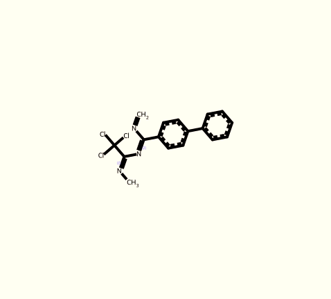 C=N/C(=N\C(=N/C)C(Cl)(Cl)Cl)c1ccc(-c2ccccc2)cc1